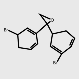 BrC1=CC(C2(C3=CC(Br)CC=C3)CO2)CC=C1